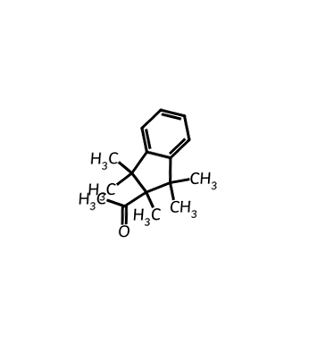 CC(=O)C1(C)C(C)(C)c2ccccc2C1(C)C